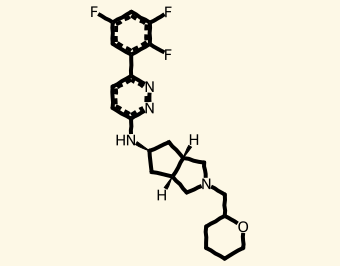 Fc1cc(F)c(F)c(-c2ccc(N[C@H]3C[C@@H]4CN(CC5CCCCO5)C[C@@H]4C3)nn2)c1